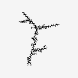 CCCCCCCCCCCOC(=O)CCCC(O)CN(CCCC(=O)OCCN1CC(C)N(CCOC(=O)CCCCN(CC(O)CCCCC(=O)OCC(CC)CC)CC(O)CCCCC(=O)OCC(CC)CC)CC1C)CC(O)CCCCCC(=O)OC(CCCCCCCC)CCCCCCCC